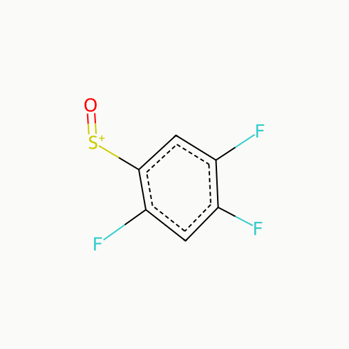 O=[S+]c1cc(F)c(F)cc1F